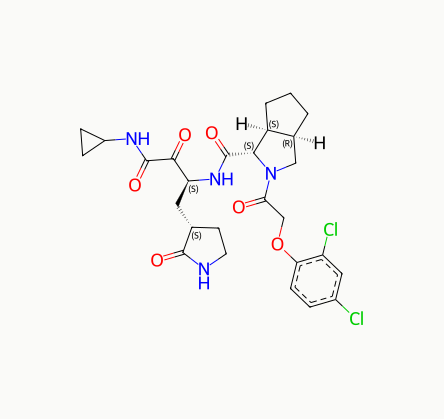 O=C(NC1CC1)C(=O)[C@H](C[C@@H]1CCNC1=O)NC(=O)[C@@H]1[C@H]2CCC[C@H]2CN1C(=O)COc1ccc(Cl)cc1Cl